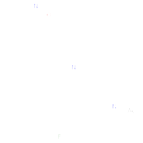 CC(=O)N1CC2(CCN(C3CCC4(CC3)CC(C)=NO4)CC2)c2cc(F)ccc21